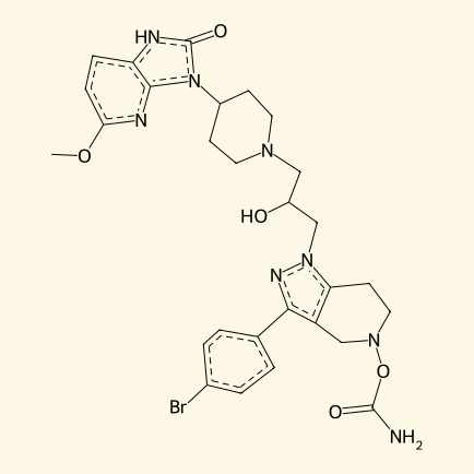 COc1ccc2[nH]c(=O)n(C3CCN(CC(O)Cn4nc(-c5ccc(Br)cc5)c5c4CCN(OC(N)=O)C5)CC3)c2n1